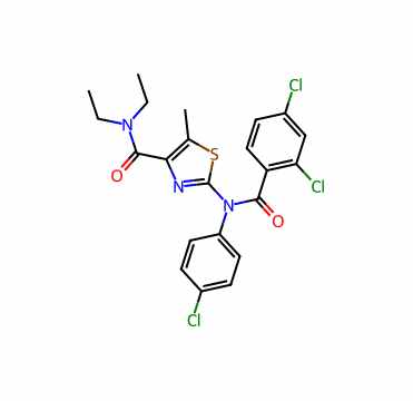 CCN(CC)C(=O)c1nc(N(C(=O)c2ccc(Cl)cc2Cl)c2ccc(Cl)cc2)sc1C